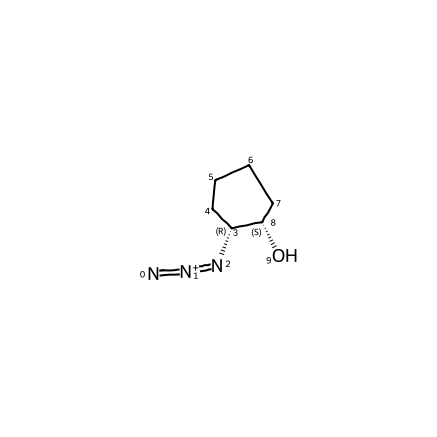 [N-]=[N+]=N[C@@H]1CCCC[C@@H]1O